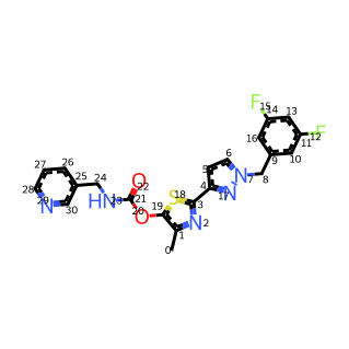 Cc1nc(-c2ccn(Cc3cc(F)cc(F)c3)n2)sc1OC(=O)NCc1cccnc1